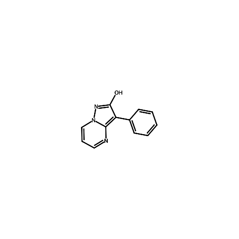 Oc1nn2cccnc2c1-c1ccccc1